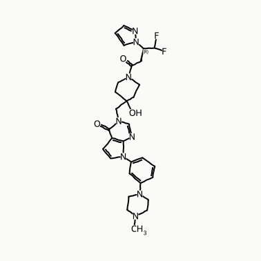 CN1CCN(c2cccc(-n3ccc4c(=O)n(CC5(O)CCN(C(=O)C[C@H](C(F)F)n6cccn6)CC5)cnc43)c2)CC1